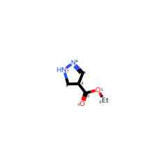 CCOC(=O)C1C=NNC1